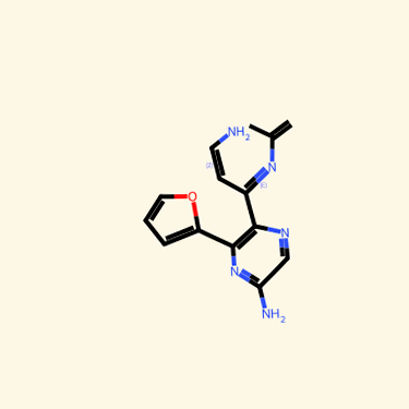 C=C(C)/N=C(\C=C/N)c1ncc(N)nc1-c1ccco1